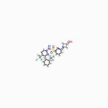 O=S(=O)(Nc1ccc(C(F)(F)F)c(-c2ccccc2C(F)(F)F)n1)c1cccc(N2CC(O)C2)n1